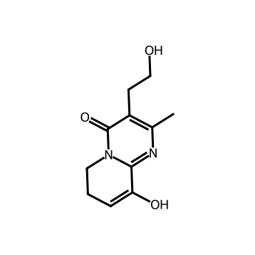 Cc1nc2n(c(=O)c1CCO)CCC=C2O